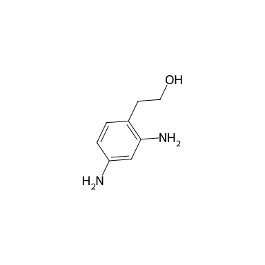 Nc1ccc(CCO)c(N)c1